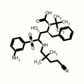 CC(C)(CCC#N)CNC([C@H](O)[C@H](Cc1ccccc1)N(C(=O)O)C(C)(C)C)S(=O)(=O)c1cccc(N)c1